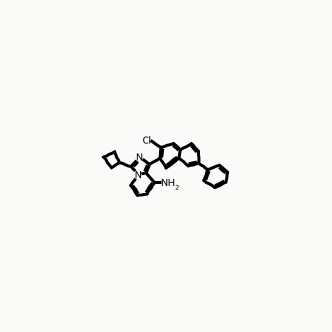 Nc1cccn2c(C3CCC3)nc(-c3cc4cc(-c5ccccc5)ccc4cc3Cl)c12